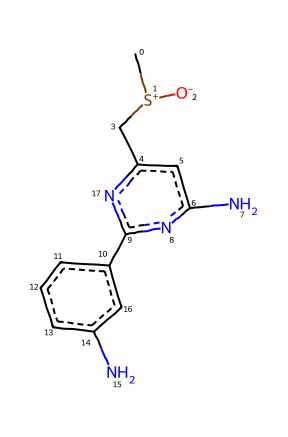 C[S+]([O-])Cc1cc(N)nc(-c2cccc(N)c2)n1